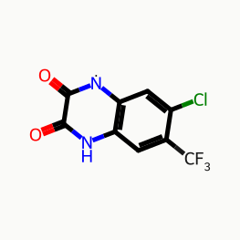 O=C1[N]c2cc(Cl)c(C(F)(F)F)cc2NC1=O